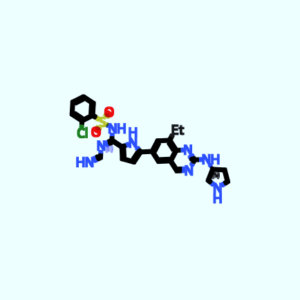 CCc1cc(-c2ccc(/C(=N\C=N)NS(=O)(=O)c3ccccc3Cl)[nH]2)cc2cnc(N[C@H]3CCNC3)nc12